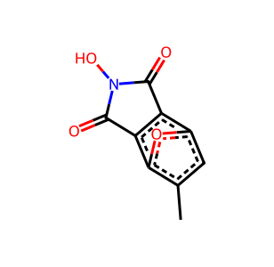 Cc1cc2oc1c1c2C(=O)N(O)C1=O